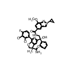 COc1cc(C(=O)NC[C@@](O)(c2ccccc2)c2cc3c(c(-c4ccc(F)c(Cl)c4Cl)n2)OC[C@]3(C)C(N)=O)cc2cn(C3CC3)nc12